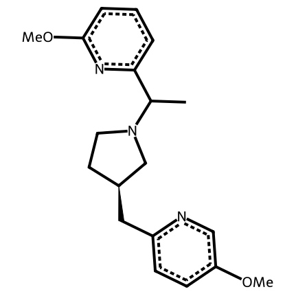 COc1ccc(C[C@H]2CCN(C(C)c3cccc(OC)n3)C2)nc1